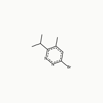 Cc1cc(Br)nnc1C(C)C